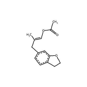 CC(=O)OC=C(C)Cc1ccc2c(c1)OCC2